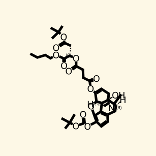 CCCCOC(=O)[C@H](CC(=O)OC(C)(C)C)OC(=O)CCC(=O)OC1=CC[C@@]2(O)[C@H]3Cc4ccc(OC(=O)OC(C)(C)C)c5c4[C@@]2(CCN3C)[C@H]1O5